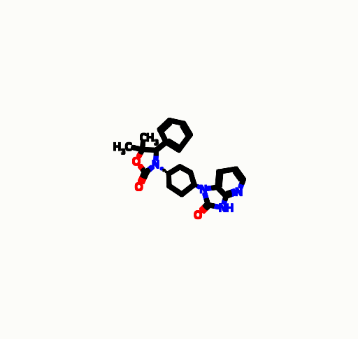 CC1(C)OC(=O)N([C@H]2CC[C@H](n3c(=O)[nH]c4ncccc43)CC2)C1c1ccccc1